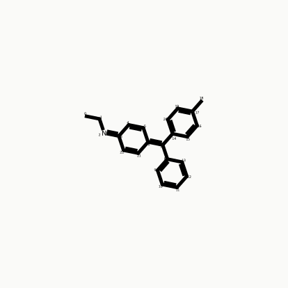 CCN=C1C=CC(=C(c2ccccc2)c2ccc(C)cc2)C=C1